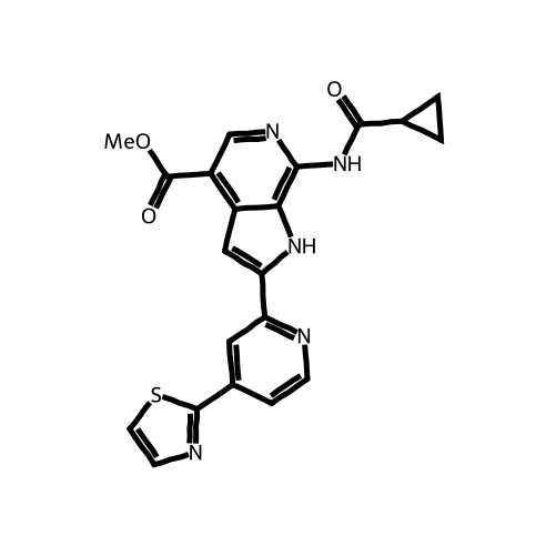 COC(=O)c1cnc(NC(=O)C2CC2)c2[nH]c(-c3cc(-c4nccs4)ccn3)cc12